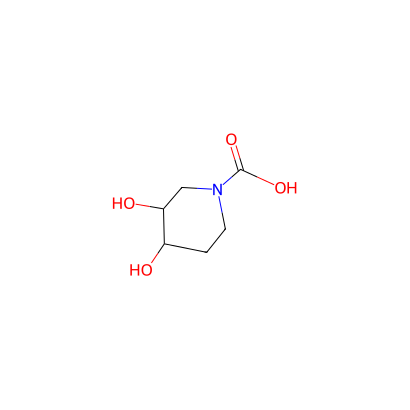 O=C(O)N1CCC(O)C(O)C1